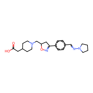 O=C(O)CC1CCN(CC2CC(c3ccc(C=NN4CCCC4)cc3)=NO2)CC1